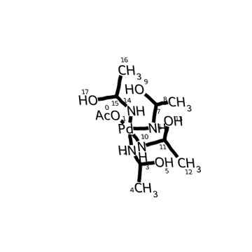 CC(=O)[O][Pd]([NH]C(C)O)([NH]C(C)O)([NH]C(C)O)[NH]C(C)O